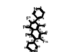 Fc1c(-c2cccnc2)c(F)c2c(F)c(F)c(-c3cccnc3)c(F)c2c1F